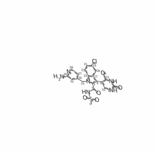 CS(=O)(=O)NC(=O)c1c(-c2c[nH]c(=O)[nH]c2=O)c2cc(Cl)ccc2n1Cc1ccnc(N)c1